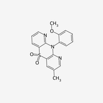 COc1ccccc1N1c2ncccc2S(=O)(=O)c2cc(C)cnc21